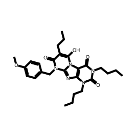 CCCCn1c(=O)c2c(nc3n(Cc4ccc(OC)cc4)c(=O)c(CCC)c(O)n23)n(CCCC)c1=O